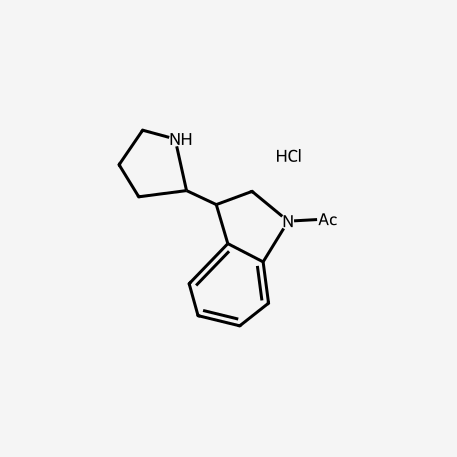 CC(=O)N1CC(C2CCCN2)c2ccccc21.Cl